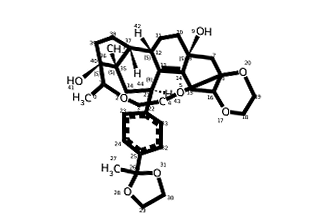 CC1OCCOC23C[C@@]4(O)CC[C@@H]5C(=C4CC2OCCO3)[C@@H](c2ccc(C3(C)OCCO3)cc2)C[C@@]2(C)[C@@H]5CC[C@@]12O